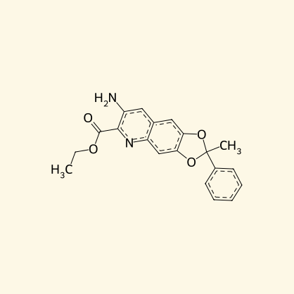 CCOC(=O)c1nc2cc3c(cc2cc1N)OC(C)(c1ccccc1)O3